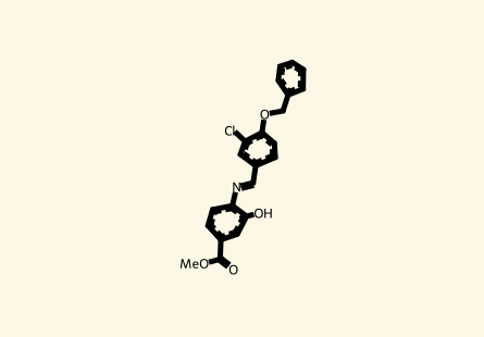 COC(=O)c1ccc(/N=C/c2ccc(OCc3ccccc3)c(Cl)c2)c(O)c1